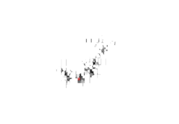 CC1(C)CCC(c2ccc(Cl)cc2)=C(CN2CCN(c3ccc(C(=O)NS(=O)(=O)c4ccc(NC(CCN5C[C@@H]6C[C@H]5CN6Cc5cc(F)c6c(c5)C(=O)N(C5CCC(=O)NC5=O)C6=O)CSc5ccccc5)c(S(=O)(=O)C(F)(F)F)c4)cc3)CC2)C1